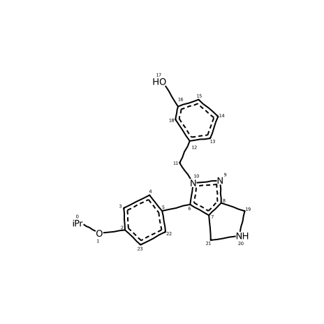 CC(C)Oc1ccc(-c2c3c(nn2Cc2cccc(O)c2)CNC3)cc1